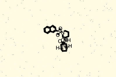 O=C(N[C@H]1CCCN(S(=O)(=O)c2ccc3ccccc3c2)C1)N1[C@@H]2CC[C@H]1C[C@H](O)C2